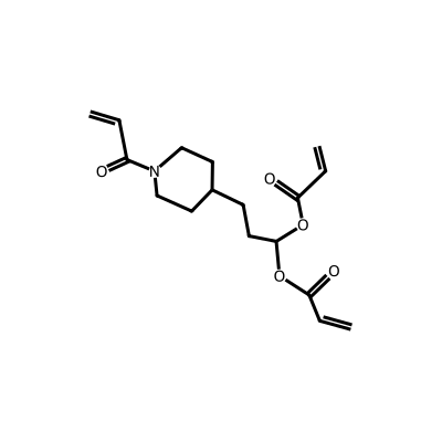 C=CC(=O)OC(CCC1CCN(C(=O)C=C)CC1)OC(=O)C=C